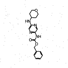 O=C(Nc1cnc(NC2CCOCC2)cn1)OCc1ccccc1